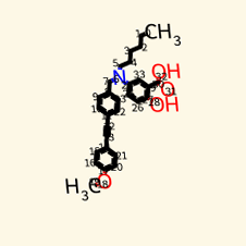 CCCCCCN(Cc1ccc(C#Cc2ccc(OC)cc2)cc1)c1ccc(O)c(C(=O)O)c1